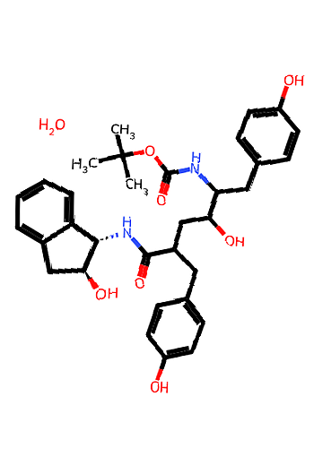 CC(C)(C)OC(=O)NC(Cc1ccc(O)cc1)C(O)CC(Cc1ccc(O)cc1)C(=O)N[C@H]1c2ccccc2C[C@@H]1O.O